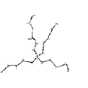 CCCCC[N+](CCCCC)(CCCCC)COCCOC